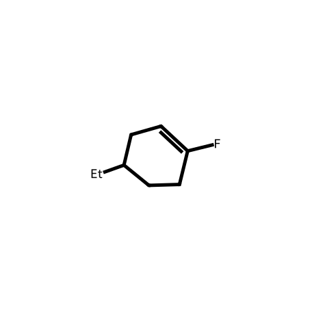 CCC1CC=C(F)CC1